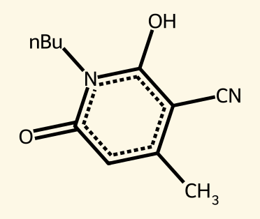 CCCCn1c(O)c(C#N)c(C)cc1=O